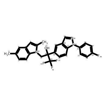 Cc1ccc2c(c1)cc(C)n2CC(O)(c1ccc2c(cnn2-c2ccc(F)cc2)c1)C(F)(F)F